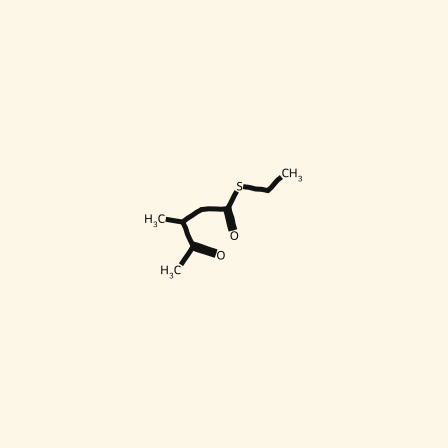 CCSC(=O)CC(C)C(C)=O